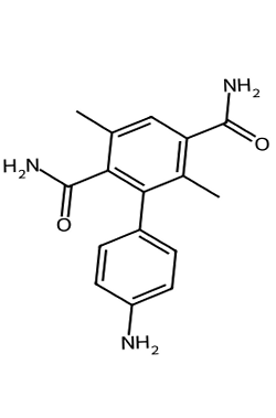 Cc1cc(C(N)=O)c(C)c(-c2ccc(N)cc2)c1C(N)=O